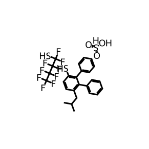 CC(C)Cc1ccc(S)c(-c2ccccc2)c1-c1ccccc1.FC(F)(F)C(F)(F)C(F)(F)C(F)(F)S.O=[SH](=O)O